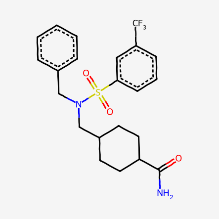 NC(=O)C1CCC(CN(Cc2ccccc2)S(=O)(=O)c2cccc(C(F)(F)F)c2)CC1